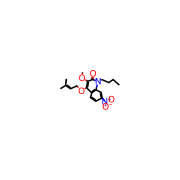 CCCCn1c(=O)c(OC)c(OCC=C(C)C)c2ccc([N+](=O)[O-])cc21